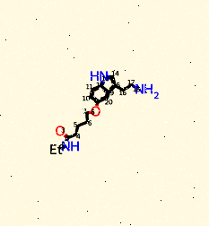 CCNC(=O)CCCCOc1ccc2[nH]cc(CCN)c2c1